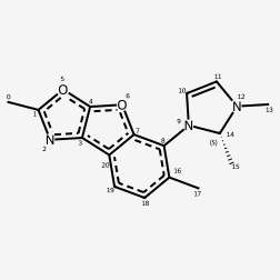 Cc1nc2c(o1)oc1c(N3C=CN(C)[C@@H]3C)c(C)ccc12